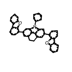 c1ccc(-n2c3cc(-c4cccc5c4oc4ccccc45)cc4c3c3c(cc(-c5cccc6c5oc5ccccc56)cc32)CC4)cc1